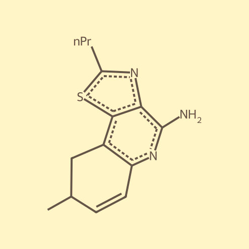 CCCc1nc2c(N)nc3c(c2s1)CC(C)C=C3